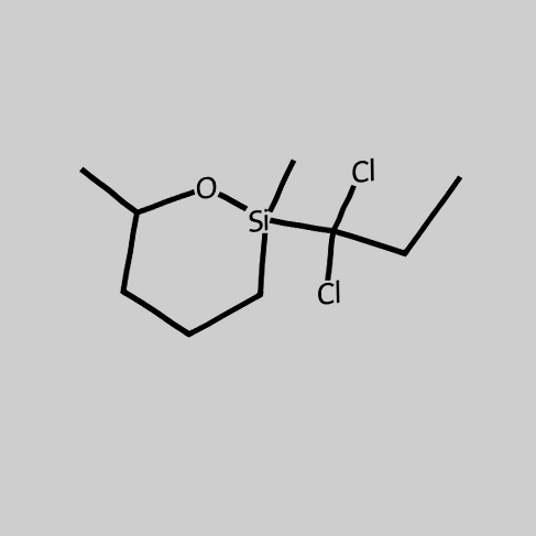 CCC(Cl)(Cl)[Si]1(C)CCCC(C)O1